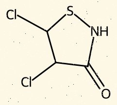 O=C1NSC(Cl)C1Cl